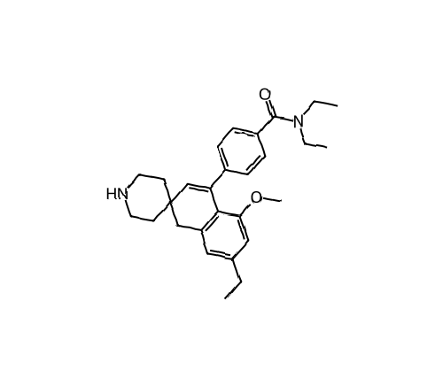 CCc1cc2c(c(OC)c1)C(c1ccc(C(=O)N(CC)CC)cc1)=CC1(CCNCC1)C2